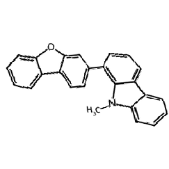 Cn1c2ccccc2c2cccc(-c3ccc4c(c3)oc3ccccc34)c21